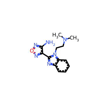 CN(C)CCn1c(-c2nonc2N)nc2ccccc21